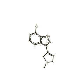 CN1CC=C(c2n[nH]c3c(Cl)cccc23)C1